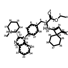 CCOC(=O)[C@H](Cc1ccc(-n2c([C@H]3CCCCN3C)nc3cccnc32)cc1)NC1=CC(=O)C12CCCCC2